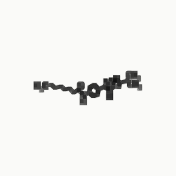 CCCCCCCC(=O)Nc1ccc(-c2nn3nc(C(C)C)cc3[nH]2)cc1